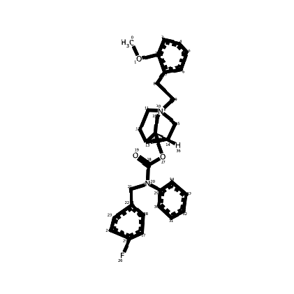 COc1ccccc1CC[N+]12CCC(CC1)[C@@H](OC(=O)N(Cc1ccc(F)cc1)c1ccccc1)C2